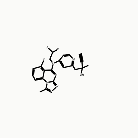 C#CC(C)(O)Cc1cc(N(CC(F)F)c2nc3nnc(C)n3c3cccc(F)c23)ccn1